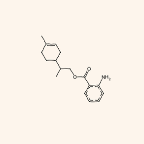 CC1=CCC(C(C)COC(=O)c2ccccc2N)CC1